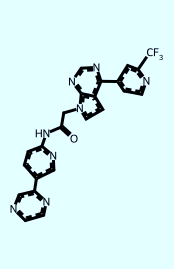 O=C(Cn1ccc2c(-c3ccnc(C(F)(F)F)c3)ncnc21)Nc1ccc(-c2cnccn2)cn1